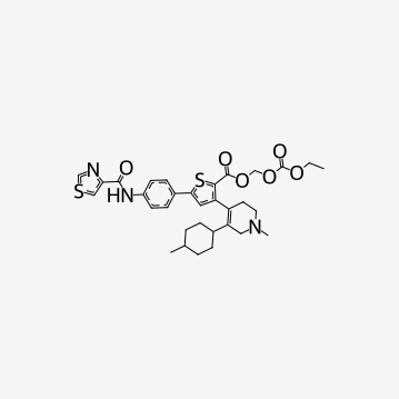 CCOC(=O)OCOC(=O)c1sc(-c2ccc(NC(=O)c3cscn3)cc2)cc1C1=C(C2CCC(C)CC2)CN(C)CC1